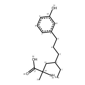 CCC(CCCc1cccc(O)c1)CC(C)(N)C(=O)O